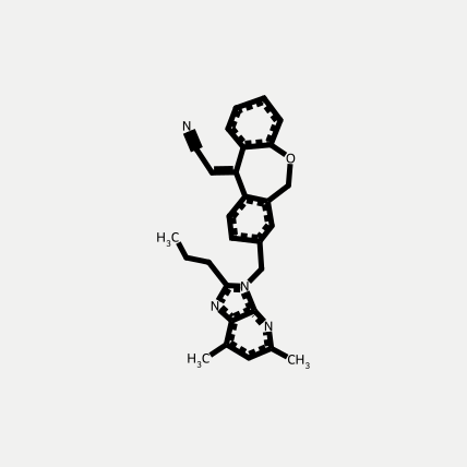 CCCc1nc2c(C)cc(C)nc2n1Cc1ccc2c(c1)COc1ccccc1/C2=C\C#N